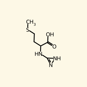 CSCCC(NC1=NN1)C(=O)O